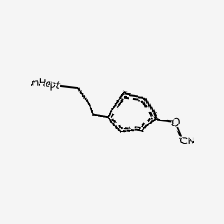 CCCCCCCCCc1ccc(OC#N)cc1